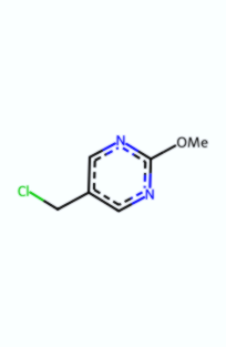 COc1ncc(CCl)cn1